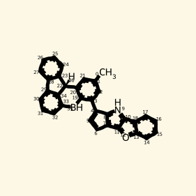 Cc1cc(C2=C=Cc3c2[nH]c2c3oc3ccccc32)c2c(c1)[C@H]1c3ccccc3-c3cccc(c31)B2